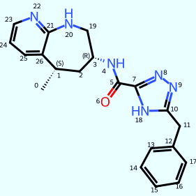 C[C@H]1C[C@@H](NC(=O)c2nnc(Cc3ccccc3)[nH]2)CNc2ncccc21